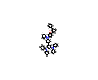 C1=CCC(N(C2=CC=C(c3cc(N(C4=CCCC=C4)c4ccccc4)cc(N(c4ccccc4)c4ccccc4)c3)CC2)c2ccc3c(c2)oc2c(-c4ccccc4)cccc23)C=C1